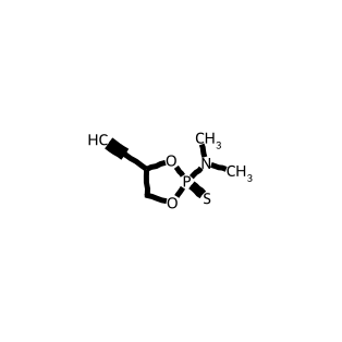 C#CC1COP(=S)(N(C)C)O1